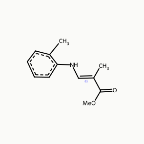 COC(=O)/C(C)=C/Nc1ccccc1C